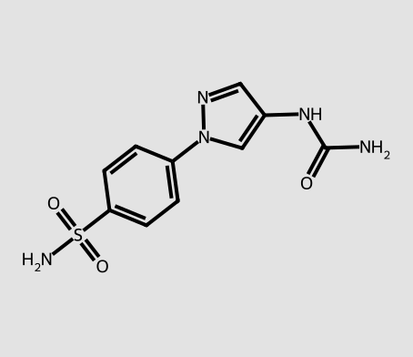 NC(=O)Nc1cnn(-c2ccc(S(N)(=O)=O)cc2)c1